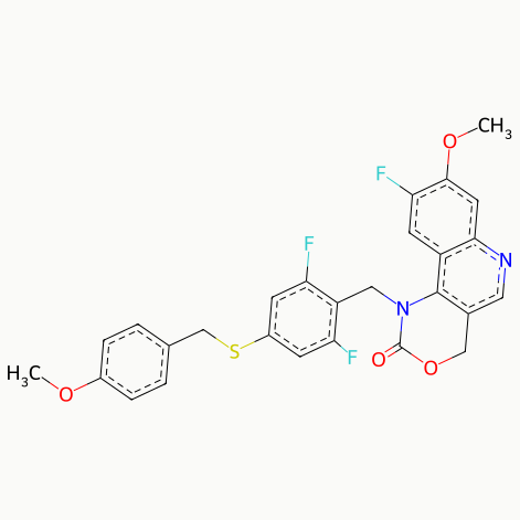 COc1ccc(CSc2cc(F)c(CN3C(=O)OCc4cnc5cc(OC)c(F)cc5c43)c(F)c2)cc1